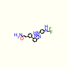 NC(=O)C=Cc1cccc(-c2cccc3cnc(Nc4ccc(NCC(F)F)cc4)nc23)c1